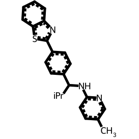 Cc1ccc(NC(c2ccc(-c3nc4ccccc4s3)cc2)C(C)C)nc1